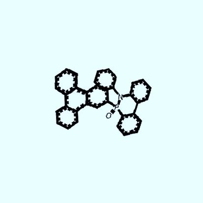 O=P1(c2ccc3c4ccccc4c4ccccc4c3c2)c2ccccc2-c2ccccc2N1c1ccccc1